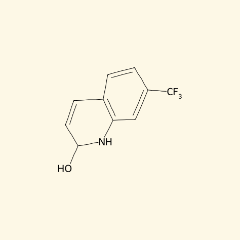 OC1C=Cc2ccc(C(F)(F)F)cc2N1